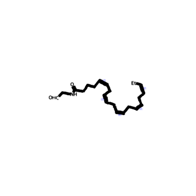 CC/C=C\C/C=C\C/C=C\C/C=C\C/C=C\CCCC(=O)NCC=O